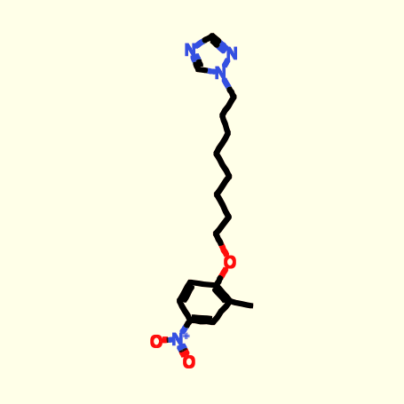 Cc1cc([N+](=O)[O-])ccc1OCCCCCCCCn1cncn1